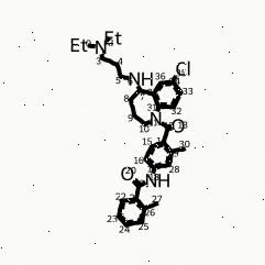 CCN(CC)CCCNC1CCCN(C(=O)c2ccc(NC(=O)c3ccccc3C)cc2C)c2ccc(Cl)cc21